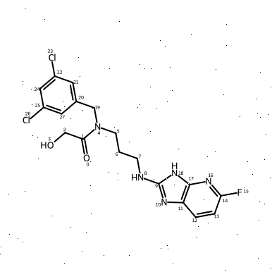 O=C(CO)N(CCCNc1nc2ccc(F)nc2[nH]1)Cc1cc(Cl)cc(Cl)c1